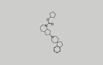 O=C(OC1CCCC1)N1CCCC2CC(N3CCC4(CCc5ccccc54)CC3)CC21